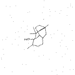 CC1CCC2CC3(C)CCC2C1(O)C3(C)C